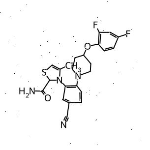 CC1=CSC(C(N)=O)N1c1cc(C#N)ccc1N1CCC(Oc2ccc(F)cc2F)CC1